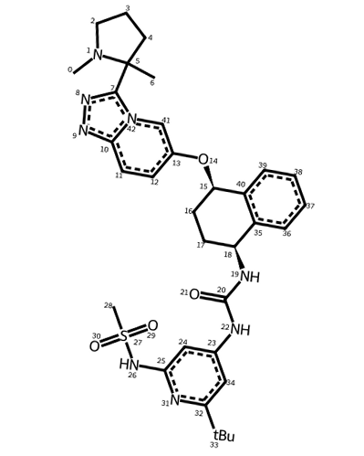 CN1CCCC1(C)c1nnc2ccc(O[C@@H]3CC[C@H](NC(=O)Nc4cc(NS(C)(=O)=O)nc(C(C)(C)C)c4)c4ccccc43)cn12